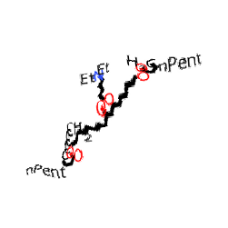 C=C=C=C=CC(CCCCC)CC(=O)OCCCCCCCCC(CCCCCCCCOC(=O)CC(C)CCCCC)OC(=O)CCCCN(CC)CC